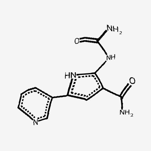 NC(=O)Nc1[nH]c(-c2cccnc2)cc1C(N)=O